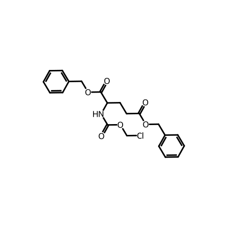 O=C(CCC(NC(=O)OCCl)C(=O)OCc1ccccc1)OCc1ccccc1